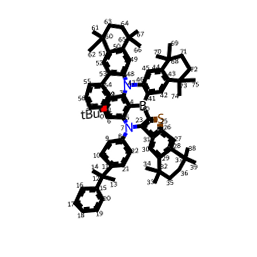 CC(C)(C)c1cc2c3c(c1)N(c1ccc(C(C)(C)c4ccccc4)cc1)c1c(sc4cc5c(cc14)C(C)(C)CCC5(C)C)B3c1cc3c(cc1N2c1cc2c(cc1-c1ccccc1)C(C)(C)CCC2(C)C)C(C)(C)CCC3(C)C